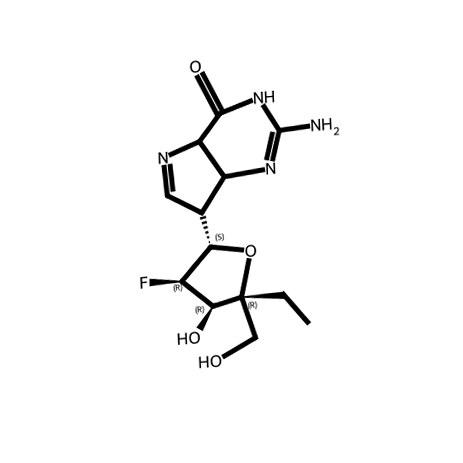 CC[C@]1(CO)O[C@@H](C2C=NC3C(=O)NC(N)=NC32)[C@H](F)[C@@H]1O